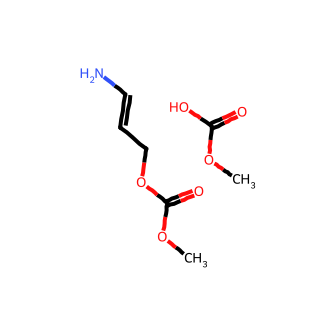 COC(=O)O.COC(=O)OCC=CN